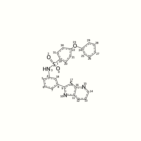 O=S(=O)(Nc1cccc(-c2nc3cccnc3s2)c1)c1ccc(Oc2ccccc2)cc1